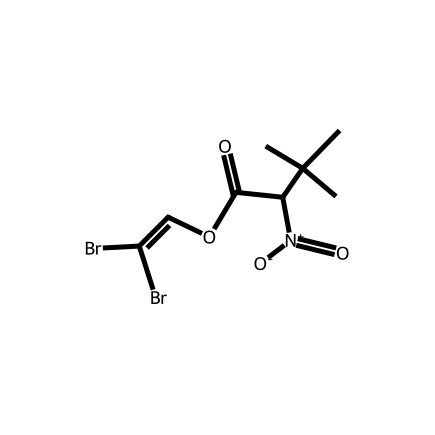 CC(C)(C)C(C(=O)OC=C(Br)Br)[N+](=O)[O-]